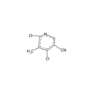 Cc1c(Cl)ncc(C#N)c1Cl